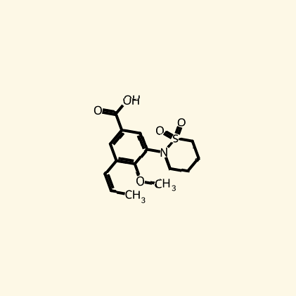 C/C=C\c1cc(C(=O)O)cc(N2CCCCS2(=O)=O)c1OC